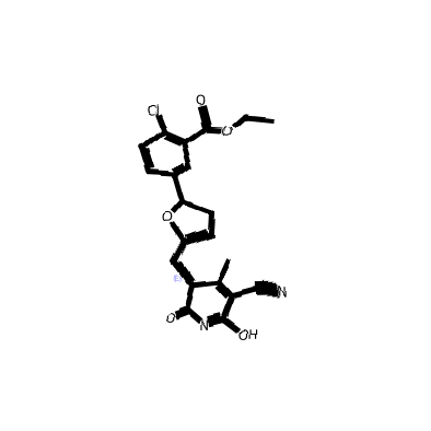 CCOC(=O)c1cc(C2CC=C(/C=C3/C(=O)N=C(O)C(C#N)=C3C)O2)ccc1Cl